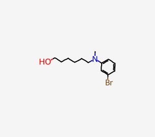 CN(CCCCCCO)c1cccc(Br)c1